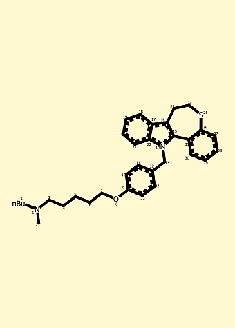 CCCCN(C)CCCCCOc1ccc(Cn2c3c(c4ccccc42)CCSc2ccccc2-3)cc1